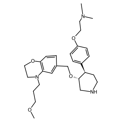 COCCCN1CCOc2ccc(CO[C@H]3CNCC[C@@H]3c3ccc(OCCN(C)C)cc3)cc21